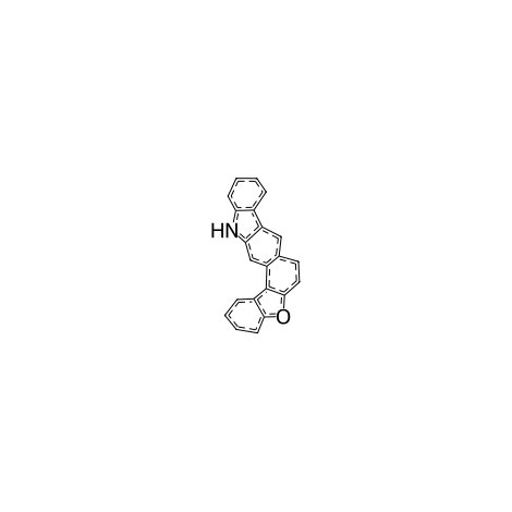 c1ccc2c(c1)[nH]c1cc3c(ccc4oc5ccccc5c43)cc12